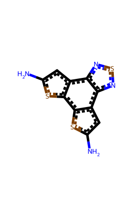 Nc1cc2c3nsnc3c3cc(N)sc3c2s1